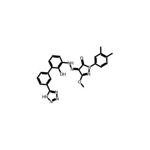 COC1=NN(c2ccc(C)c(C)c2)C(=O)/C1=N\Nc1cccc(-c2cccc(-c3nnn[nH]3)c2)c1O